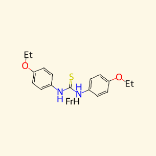 CCOc1ccc(NC(=S)Nc2ccc(OCC)cc2)cc1.[FrH]